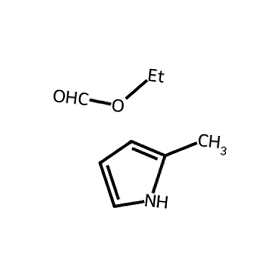 CCOC=O.Cc1ccc[nH]1